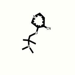 CN(C)C(C)(C)COc1cnccc1C#N